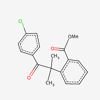 COC(=O)c1ccccc1C(C)(C)C(=O)c1ccc(Cl)cc1